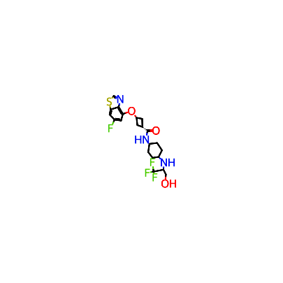 O=C(N[C@H]1CC[C@H](NC(CO)C(F)(F)F)CC1)[C@H]1C[C@H](Oc2cc(F)cc3scnc23)C1